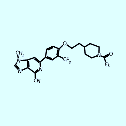 CCC(=O)N1CCC(CCOc2ccc(-c3cc4c(ncn4C)c(C#N)n3)cc2C(F)(F)F)CC1